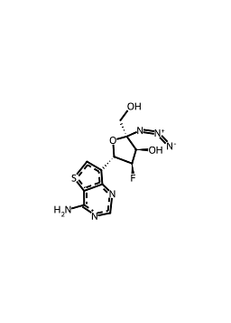 [N-]=[N+]=N[C@]1(CO)O[C@@H](c2csc3c(N)ncnc23)[C@H](F)[C@@H]1O